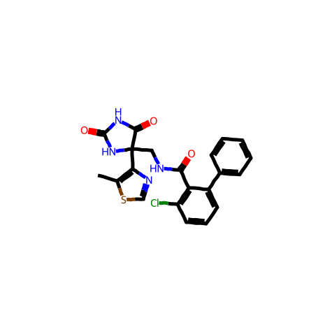 Cc1scnc1C1(CNC(=O)c2c(Cl)cccc2-c2ccccc2)NC(=O)NC1=O